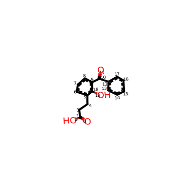 O=C(O)CCc1cccc(C(=O)c2ccccc2)c1O